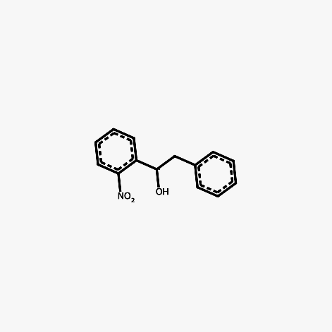 O=[N+]([O-])c1ccccc1[C](O)Cc1ccccc1